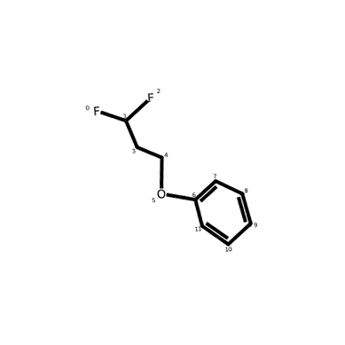 FC(F)CCOc1cc[c]cc1